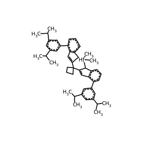 CC(C)c1cc(-c2cccc3c2C=C2[CH]3[Hf]([CH3])([CH3])[CH]3C(=Cc4c(-c5cc(C(C)C)cc(C(C)C)c5)cccc43)C23CCC3)cc(C(C)C)c1